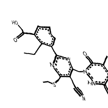 CCc1c(C(=O)O)cccc1-c1nc(SC)c(C#N)c(-n2[nH]c(=O)cc(C)c2=O)n1